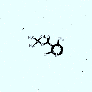 Cc1ccnc(Cl)c1C(=O)OC(C)(C)C